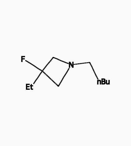 CCCCCN1CC(F)(CC)C1